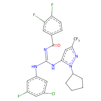 O=C(/N=C(/Nc1cc(F)cc(Cl)c1)Nc1cc(C(F)(F)F)nn1C1CCCC1)c1ccc(F)c(F)c1